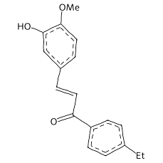 CCc1ccc(C(=O)/C=C/c2ccc(OC)c(O)c2)cc1